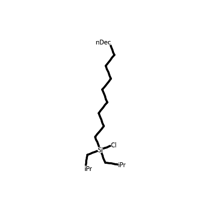 CCCCCCCCCCCCCCCCCC[Si](Cl)(CC(C)C)CC(C)C